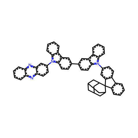 c1ccc2c(c1)-c1ccc(-n3c4ccccc4c4cc(-c5ccc6c(c5)c5ccccc5n6-c5ccc6nc7ccccc7nc6c5)ccc43)cc1C21C2CC3CC(C2)CC1C3